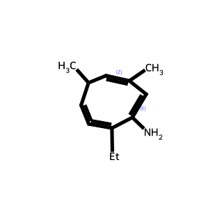 CCC1=C=CC(C)/C=C(C)\C=C/1N